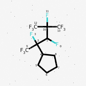 F[C](C(F)(C1C[CH]CC1)C(F)(F)F)C(F)(C(F)(F)F)C(F)(F)F